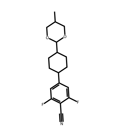 CC1COC(C2CCC(c3cc(F)c(C#N)c(F)c3)CC2)OC1